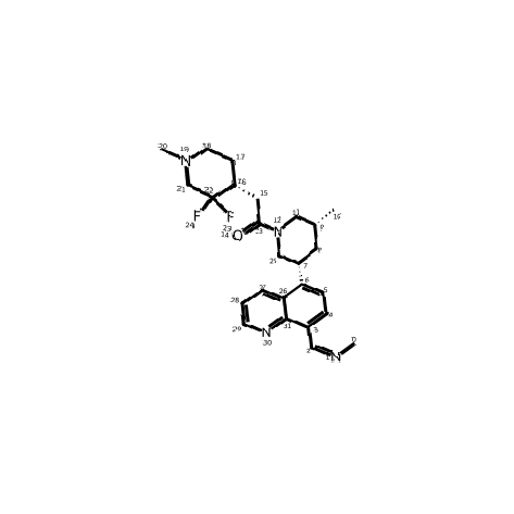 C/N=C\c1ccc([C@H]2C[C@@H](C)CN(C(=O)C[C@H]3CCN(C)CC3(F)F)C2)c2cccnc12